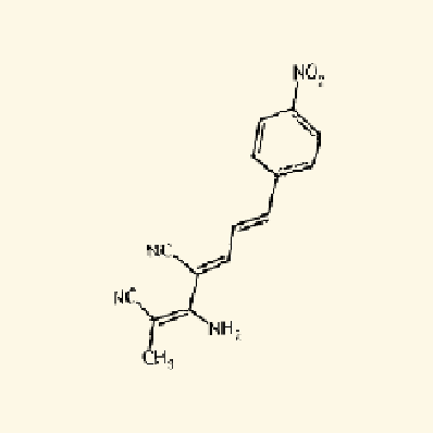 C/C(C#N)=C(N)/C(C#N)=C/C=C/c1ccc([N+](=O)[O-])cc1